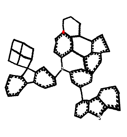 c1cc(-c2cccc3sc4ccccc4c23)cc(N(c2ccc3c(c2)C2(c4ccccc4-3)C3CC4CC5CC2C453)c2ccccc2-c2cccc3cccc(C4CCCCC4)c23)c1